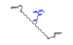 CCCCC/C=C\C/C=C\CCCCCCCCC(CCCCCCCC/C=C\C/C=C\CCCCC)CNCCNC(=N)N